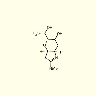 CNC1=N[C@@H]2C[C@H](O)[C@@H]([C@@H](O)C(F)(F)F)O[C@@H]2S1